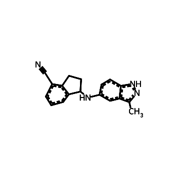 Cc1n[nH]c2ccc(NC3CCc4c(C#N)cccc43)cc12